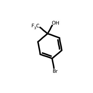 OC1(C(F)(F)F)C=CC(Br)=CC1